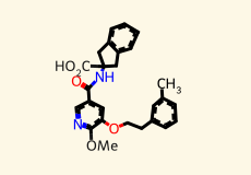 COc1ncc(C(=O)NC2(C(=O)O)Cc3ccccc3C2)cc1OCCc1cccc(C)c1